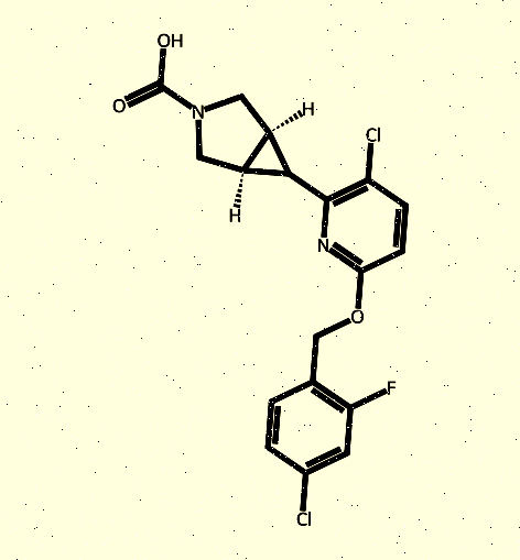 O=C(O)N1C[C@@H]2C(c3nc(OCc4ccc(Cl)cc4F)ccc3Cl)[C@@H]2C1